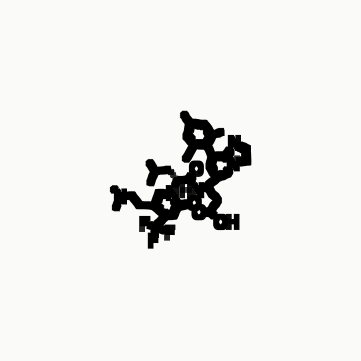 Cc1cc(C)c(-c2cc(C(CC(=O)O)NC(=O)[C@@H](CC(C)C)n3cc(CCN(C)C)c(C(F)(F)F)cc3=O)cn3ccnc23)c(C)c1